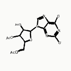 CC(=O)OCC1OC(n2cnc3c(Cl)nc(Cl)nc32)C(OC(C)=O)C1OC(C)=O